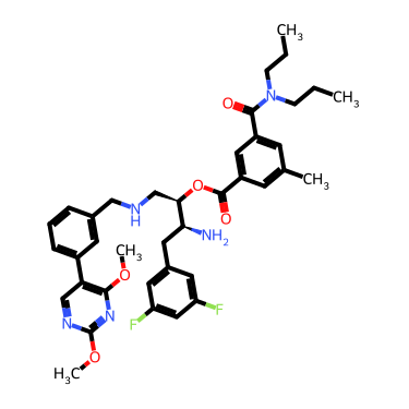 CCCN(CCC)C(=O)c1cc(C)cc(C(=O)O[C@H](CNCc2cccc(-c3cnc(OC)nc3OC)c2)[C@@H](N)Cc2cc(F)cc(F)c2)c1